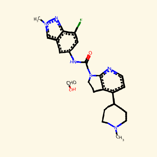 CN1CCC(c2ccnc3c2CCN3C(=O)Nc2cc(F)c3nn(C)cc3c2)CC1.O=CO